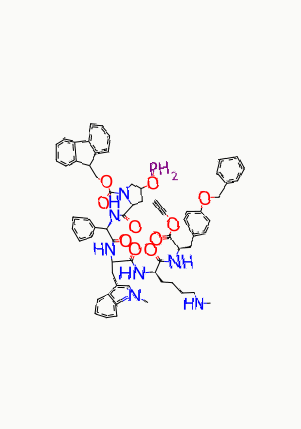 C#COC(=O)[C@@H](Cc1ccc(OCc2ccccc2)cc1)NC(=O)[C@@H](CCCCNC)NC(=O)C(Cc1cn(C)c2ccccc12)NC(=O)[C@H](NC(=O)C1CC(OP)CN1C(=O)OCC1c2ccccc2-c2ccccc21)c1ccccc1